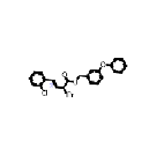 CC(C)C(/C=C/c1ccccc1Cl)C(=O)OCc1cccc(Oc2ccccc2)c1